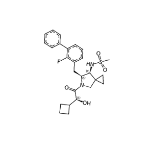 CS(=O)(=O)N[C@@H]1[C@H](Cc2cccc(-c3ccccc3)c2F)N(C(=O)[C@@H](O)C2CCC2)CC12CC2